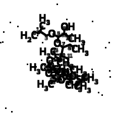 C=C(C)COC(OC(CC)C(CCC)[Si](C)(C)O[Si](C)(C)O[Si](C)(C)O[Si](C)(C)O[SiH](C)C)C(C)O